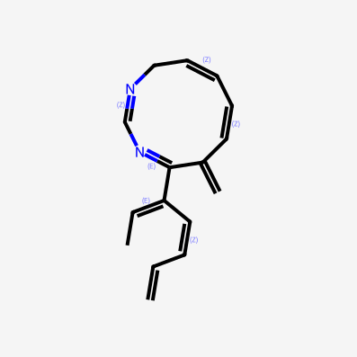 C=C\C=C/C(=C\C)C1=N/C=N\C/C=C\C=C/C\1=C